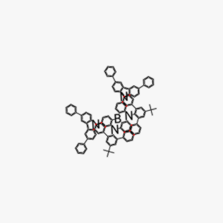 Cc1cc2c3c(c1)N(c1c(-c4ccccc4)cc(C(C)(C)C)cc1-c1ccccc1)c1cc(-n4c5ccc(-c6ccccc6)cc5c5cc(-c6ccccc6)ccc54)ccc1B3c1ccc(-n3c4ccc(-c5ccccc5)cc4c4cc(-c5ccccc5)ccc43)cc1N2c1c(-c2ccccc2)cc(C(C)(C)C)cc1-c1ccccc1